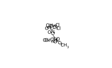 Cc1ccc(S(=O)(=O)n2cc(-c3ccn(C(CN(C)C(=O)O)c4ccc(Cl)c(Cl)c4)c(=O)c3)c3cc(N4CCOCC4)cnc32)cc1